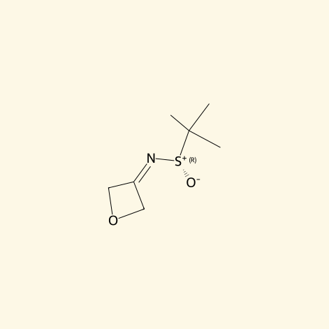 CC(C)(C)[S@+]([O-])N=C1COC1